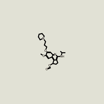 COc1cc2c3c(c(NC(C)C)nc2cc1OCCCN1CCCCC1)CCC3OC=O